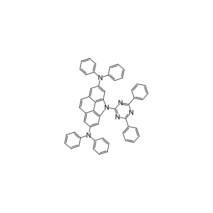 c1ccc(-c2nc(-c3ccccc3)nc(-n3c4cc(N(c5ccccc5)c5ccccc5)cc5ccc6cc(N(c7ccccc7)c7ccccc7)cc3c6c54)n2)cc1